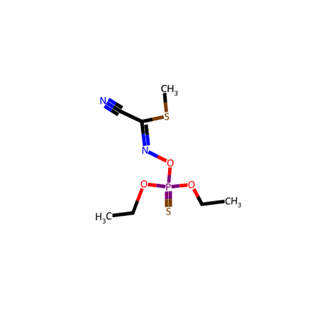 CCOP(=S)(OCC)ON=C(C#N)SC